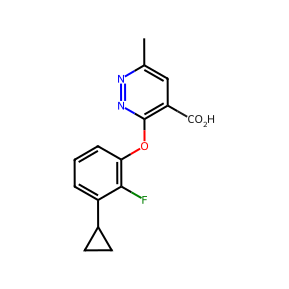 Cc1cc(C(=O)O)c(Oc2cccc(C3CC3)c2F)nn1